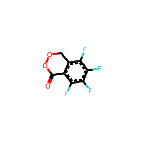 O=C1OOCc2c(F)c(F)c(F)c(F)c21